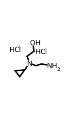 Cl.Cl.NCCN(CCO)C1CC1